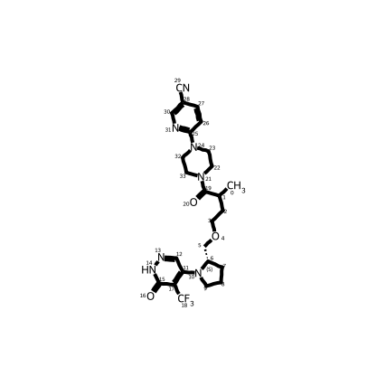 CC(CCOC[C@@H]1CCCN1c1cn[nH]c(=O)c1C(F)(F)F)C(=O)N1CCN(c2ccc(C#N)cn2)CC1